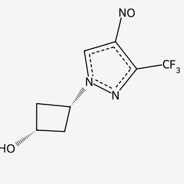 O=Nc1cn([C@H]2C[C@@H](O)C2)nc1C(F)(F)F